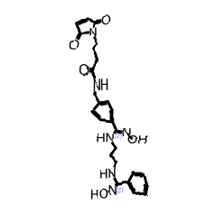 O=C(CCCN1C(=O)C=CC1=O)NCc1ccc(/C(=N/O)NCCCN/C(=N\O)c2ccccc2)cc1